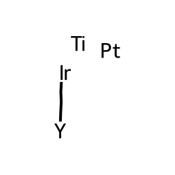 [Pt].[Ti].[Y][Ir]